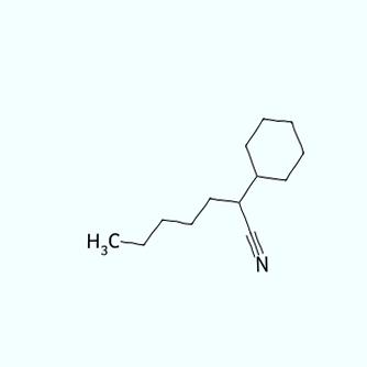 CCCCCC(C#N)C1CCCCC1